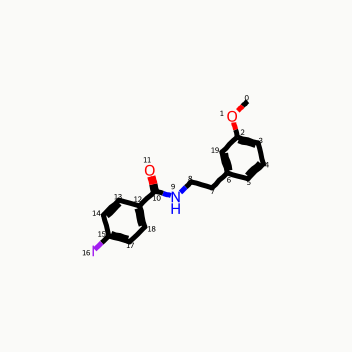 COc1cccc(CCNC(=O)c2ccc(I)cc2)c1